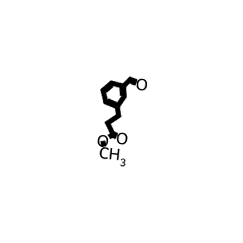 COC(=O)CCc1cccc(C=O)c1